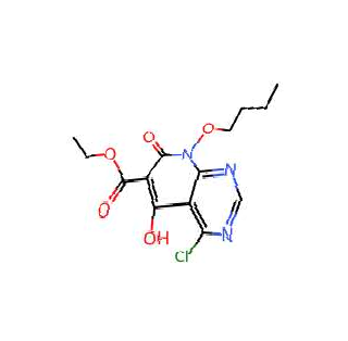 CCCCOn1c(=O)c(C(=O)OCC)c(O)c2c(Cl)ncnc21